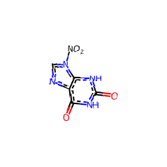 O=c1[nH]c(=O)c2ncn([N+](=O)[O-])c2[nH]1